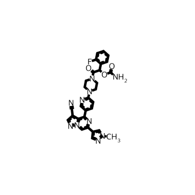 Cn1cc(-c2cn3ncc(C#N)c3c(-c3ccc(N4CCN(C(=O)C(OC(N)=O)c5ccccc5F)CC4)nc3)n2)cn1